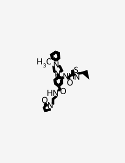 Cc1ccccc1N1CCN(c2ccc(C(=O)NCCCN3CCCC3=O)cc2NC(=O)c2csc(C3CC3)n2)CC1